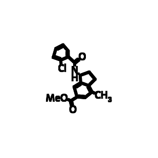 COC(=O)c1cc(C)c2c(c1)[C@H](NC(=O)c1ccccc1Cl)CC2